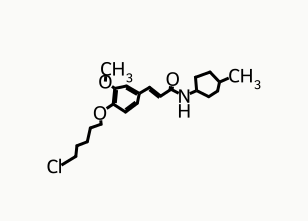 COc1cc(/C=C/C(=O)NC2CCC(C)CC2)ccc1OCCCCCCl